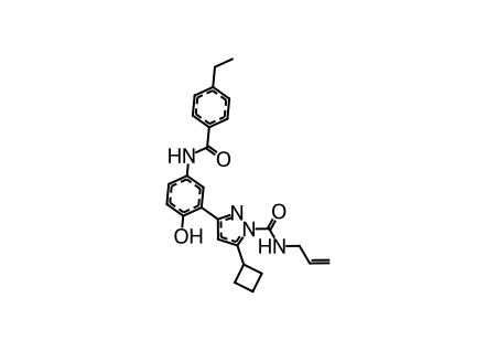 C=CCNC(=O)n1nc(-c2cc(NC(=O)c3ccc(CC)cc3)ccc2O)cc1C1CCC1